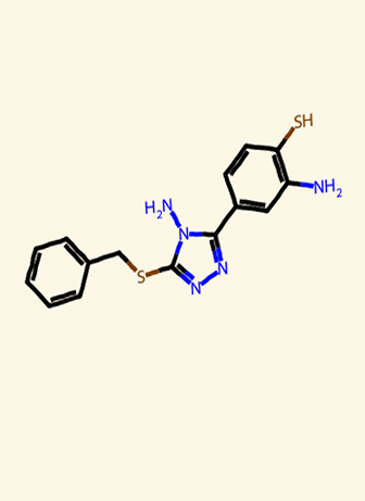 Nc1cc(-c2nnc(SCc3ccccc3)n2N)ccc1S